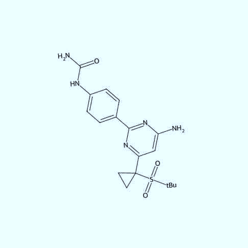 CC(C)(C)S(=O)(=O)C1(c2cc(N)nc(-c3ccc(NC(N)=O)cc3)n2)CC1